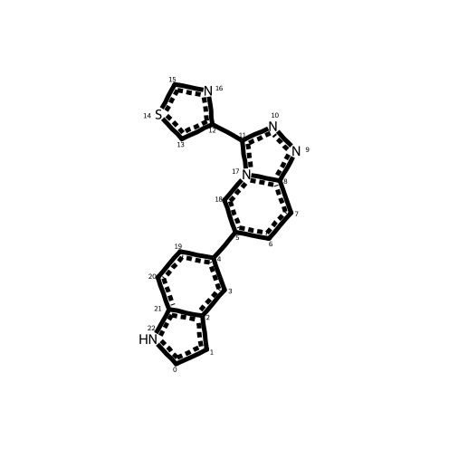 c1cc2cc(-c3ccc4nnc(-c5cscn5)n4c3)ccc2[nH]1